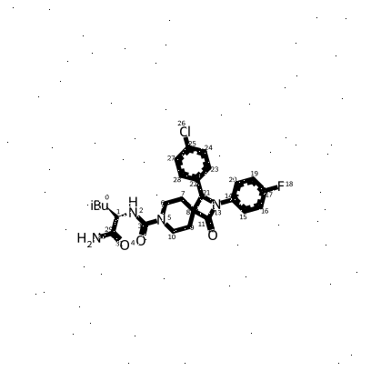 CC[C@H](C)[C@H](NC(=O)N1CCC2(CC1)C(=O)N(c1ccc(F)cc1)C2c1ccc(Cl)cc1)C(N)=O